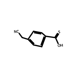 N#CCc1ccc(C(O)=S)cc1